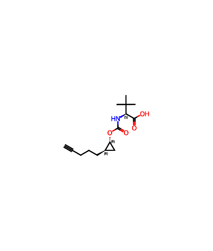 C#CCCC[C@@H]1C[C@H]1OC(=O)N[C@H](C(=O)O)C(C)(C)C